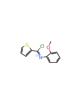 COc1ccccc1/N=C(\Cl)c1cccs1